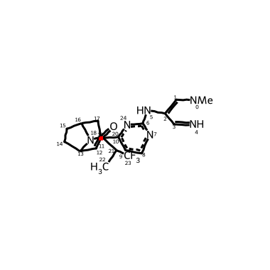 CN/C=C(\C=N)Nc1nccc(C2=CC3CCC(C2)N3C(=O)C(C)C(F)(F)F)n1